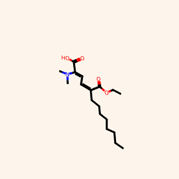 CCCCCCCC/C(=C/C=C(/C(=O)O)N(C)C)C(=O)OCC